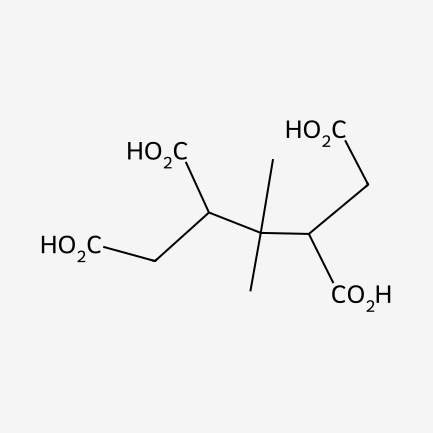 CC(C)(C(CC(=O)O)C(=O)O)C(CC(=O)O)C(=O)O